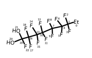 CCC(F)(F)C(F)(F)C(F)(F)C(F)(F)C(F)(F)C(F)(F)C(O)(O)F